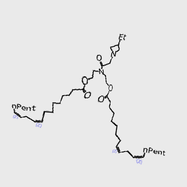 CCCCC/C=C\C/C=C\CCCCCCCC(=O)OCCN(CCOC(=O)CCCCCCC/C=C\C/C=C\CCCCC)C(=O)CN1CC(CC)C1